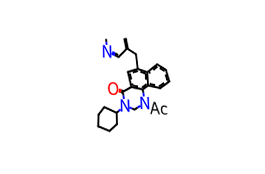 C=C(/C=N\C)Cc1cc2c(c3ccccc13)N(C(C)=O)CN(C1CCCCC1)C2=O